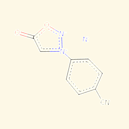 N#Cc1ccc(-[n+]2cc(=O)o[n-]2)cc1.[N]